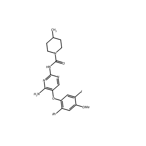 COc1cc(C(C)C)c(Oc2cnc(NC(=O)N3CCC(C)CC3)nc2N)cc1I